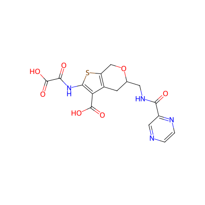 O=C(O)C(=O)Nc1sc2c(c1C(=O)O)CC(CNC(=O)c1cnccn1)OC2